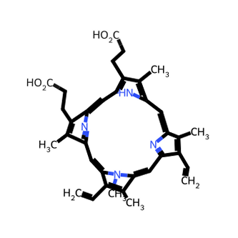 C=CC1=C(C)c2cc3[nH]c(cc4nc(cc5c(C=C)c(C)c(cc1n2)n5C)C(C)=C4CCC(=O)O)c(CCC(=O)O)c3C